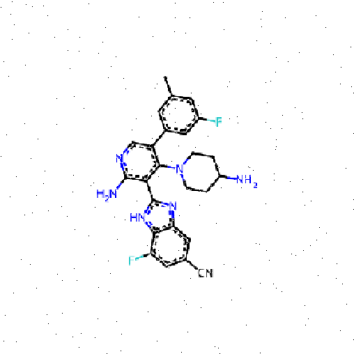 Cc1cc(F)cc(-c2cnc(N)c(-c3nc4cc(C#N)cc(F)c4[nH]3)c2N2CCC(N)CC2)c1